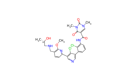 COc1nc(-c2cncc(-c3cccc(NC(=O)c4cn(C)c(=O)n(C)c4=O)c3Cl)c2Cl)ccc1CNC[C@H](C)O